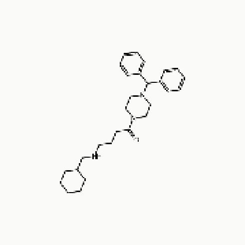 O=C(CCCNCC1CCCCC1)N1CCN(C(c2ccccc2)c2ccccc2)CC1